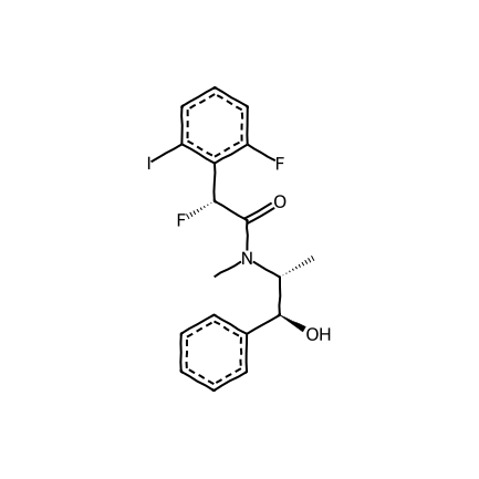 C[C@H]([C@@H](O)c1ccccc1)N(C)C(=O)[C@H](F)c1c(F)cccc1I